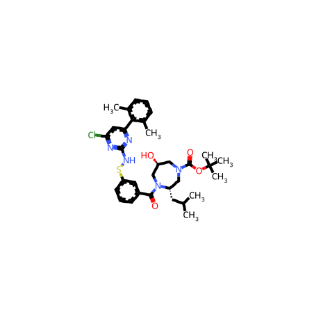 Cc1cccc(C)c1-c1cc(Cl)nc(NSc2cccc(C(=O)N3C[C@@H](O)CN(C(=O)OC(C)(C)C)C[C@@H]3CC(C)C)c2)n1